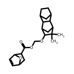 CC1(C)C2CC(C3C4CCC(C4)C32)C1OCOC(=O)C1CC2C=CC1O2